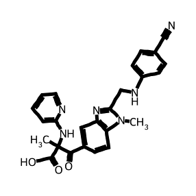 Cn1c(CNc2ccc(C#N)cc2)nc2cc(C(=O)C(C)(Nc3ccccn3)C(=O)O)ccc21